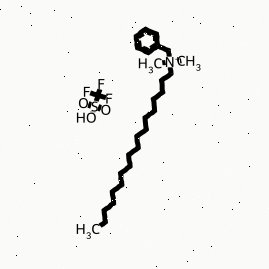 CCCCCCCCCCCCCCCCCC[N+](C)(C)Cc1ccccc1.O=S(=O)(O)C(F)(F)F